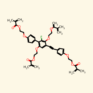 C=C(C)C(=C)OCCOc1c(C#Cc2ccc(OCCOC(=O)C(=C)C)cc2)cc(OCCOC(=O)C(=C)C)c(-c2ccc(OCCOC(=O)C(=C)C)cc2)c1F